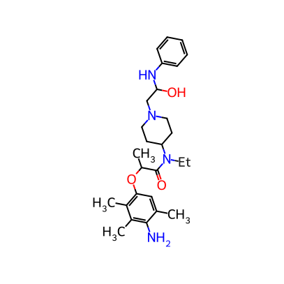 CCN(C(=O)C(C)Oc1cc(C)c(N)c(C)c1C)C1CCN(CC(O)Nc2ccccc2)CC1